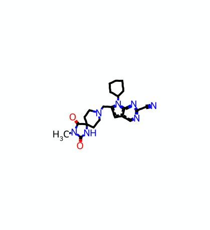 CN1C(=O)NC2(CCN(Cc3cc4cnc(C#N)nc4n3C3CCCCC3)CC2)C1=O